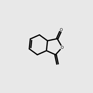 C=C1OC(=O)C2CC=CCC12